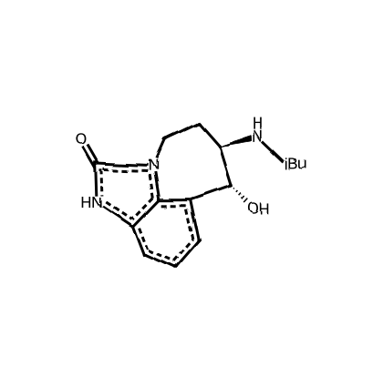 CCC(C)N[C@@H]1CCn2c(=O)[nH]c3cccc(c32)[C@H]1O